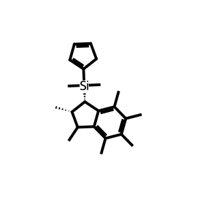 Cc1c(C)c(C)c2c(c1C)C(C)[C@H](C)[C@@H]2[Si](C)(C)C1=CC=CC1